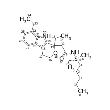 CCCCC[Si](C)(C)NC(=O)CC1(CC)OCCc2c1[nH]c1c(CC)cccc21